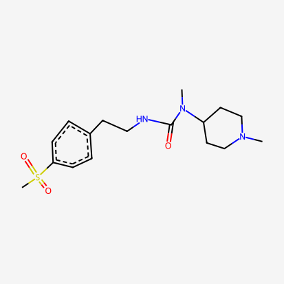 CN1CCC(N(C)C(=O)NCCc2ccc(S(C)(=O)=O)cc2)CC1